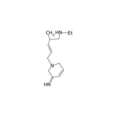 CCNCC(C)/C=C/CN1CC=CC(=N)C1